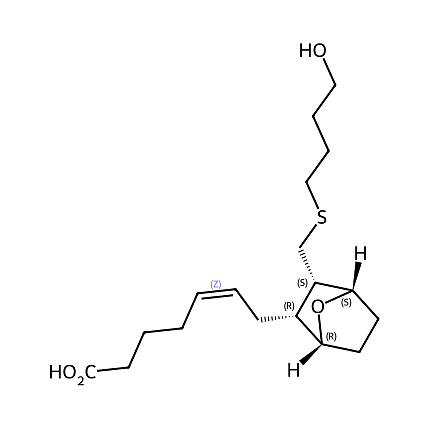 O=C(O)CCC/C=C\C[C@@H]1[C@H](CSCCCCO)[C@@H]2CC[C@H]1O2